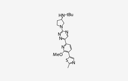 COc1nc(-c2cnc(N3CC[C@@H](NC(C)(C)C)C3)nn2)ccc1-c1cnc(C)s1